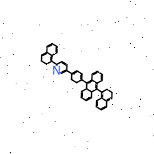 C1=CC2C(C3=CC=C(c4ccc(C5=c6ccccc6=CCC5)nc4)CC3)=c3ccccc3=C(C3=c4ccccc4=CCC3)C2C=C1